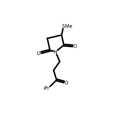 CSC1CC(=O)N(CCC(=O)C(C)C)C1=O